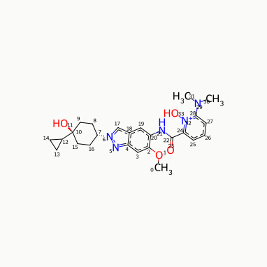 COc1cc2nn([C@H]3CC[C@@](O)(C4CC4)CC3)cc2cc1NC(=O)c1cccc(N(C)C)[n+]1O